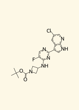 CC(C)(C)OC(=O)N1CC(Nc2nc(-c3c[nH]c4ncc(Cl)cc34)ncc2F)C1